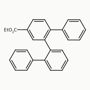 CCOC(=O)c1ccc(-c2ccccc2)c(-c2ccccc2-c2ccccc2)c1